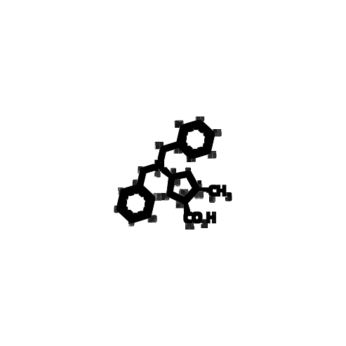 C[C@H]1C[C@H](N(Cc2ccccc2)Cc2ccccc2)C[C@@H]1C(=O)O